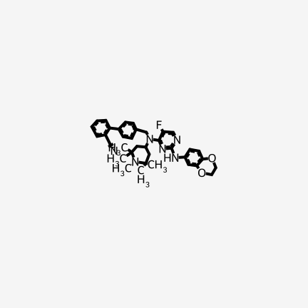 CN1C(C)(C)CC(N(Cc2ccc(-c3ccccc3C#N)cc2)c2nc(Nc3ccc4c(c3)OCCO4)ncc2F)CC1(C)C